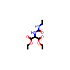 CCNC(=O)NC(C(=O)OCC)C(=O)OCC